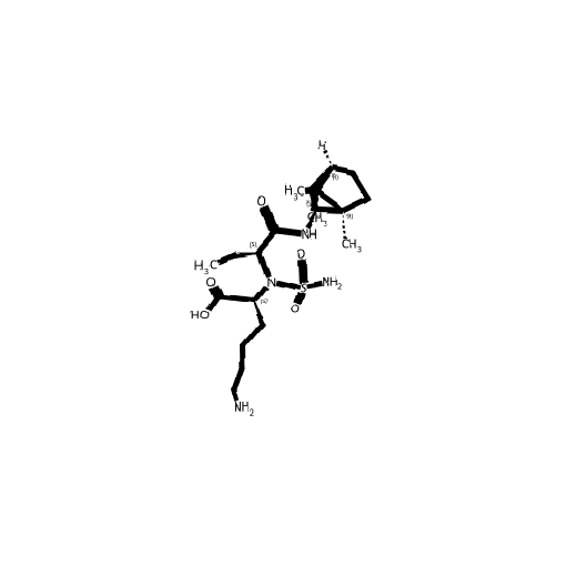 CC[C@@H](C(=O)N[C@H]1C[C@H]2CC[C@]1(C)C2(C)C)N([C@@H](CCCCN)C(=O)O)S(N)(=O)=O